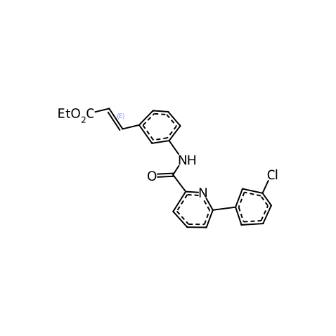 CCOC(=O)/C=C/c1cccc(NC(=O)c2cccc(-c3cccc(Cl)c3)n2)c1